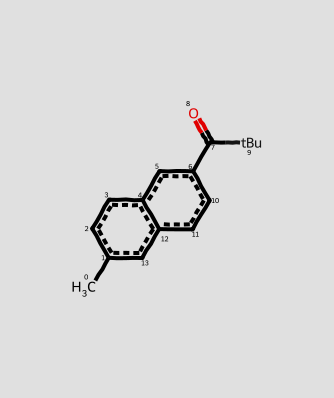 Cc1ccc2cc(C(=O)C(C)(C)C)ccc2c1